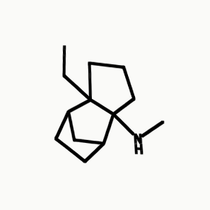 CCC12CCCC1(NC)C1CCC2C1